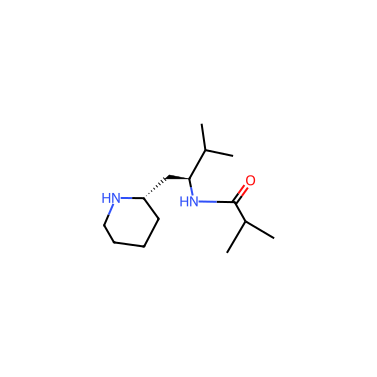 CC(C)C(=O)N[C@@H](C[C@@H]1CCCCN1)C(C)C